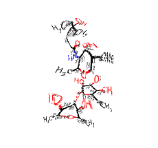 COC1[C@H](O[C@@H]2C(O)[C@H](O[C@@H]3C(O)[C@H](C)OC(C)[C@@H]3O)OC(C)[C@@H]2O)OC(C)[C@@H](NC(=O)CC(C)(C)O)[C@@H]1O